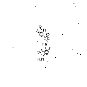 Cn1c(=O)cc(CN)c2ccc(F)c(CCNCC3CN(c4ccc5c(n4)NC(=O)CO5)C(=O)O3)c21